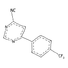 [C-]#[N+]c1cc(-c2ccc(C(F)(F)F)cc2)ncn1